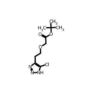 CC(C)(C)OC(=O)COCCc1nn[nH]c1Cl